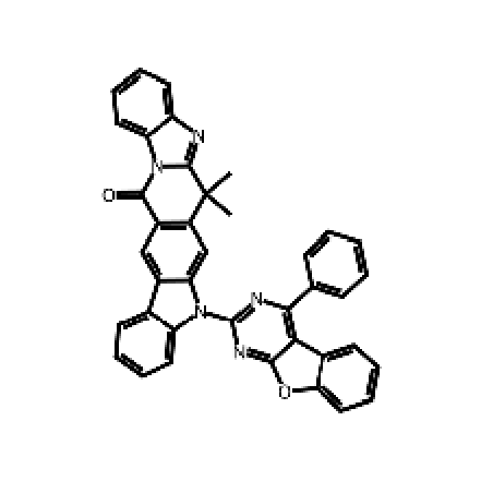 CC1(C)c2cc3c(cc2C(=O)n2c1nc1ccccc12)c1ccccc1n3-c1nc(-c2ccccc2)c2c(n1)oc1ccccc12